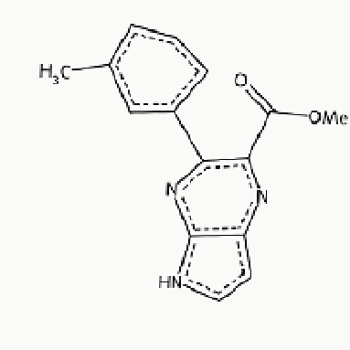 COC(=O)c1nc2cc[nH]c2nc1-c1cccc(C)c1